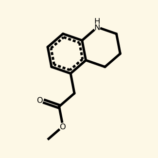 COC(=O)Cc1cccc2c1CCCN2